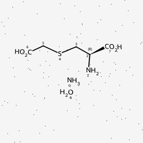 N.N[C@@H](CSCC(=O)O)C(=O)O.O